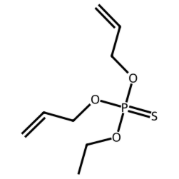 C=CCOP(=S)(OCC)OCC=C